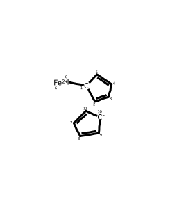 I[c-]1cccc1.[Fe+2].c1cc[cH-]c1